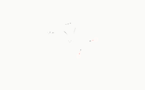 COc1cccc(C2CC(=O)CC(=O)C2)c1OC